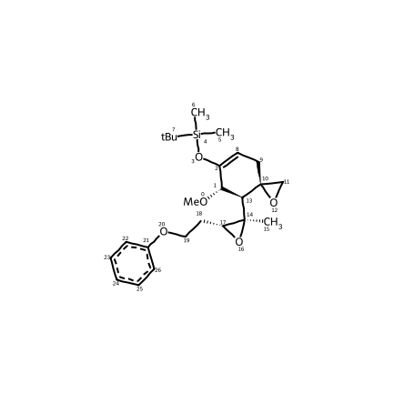 CO[C@@H]1C(O[Si](C)(C)C(C)(C)C)=CC[C@]2(CO2)[C@H]1[C@@]1(C)O[C@@H]1CCOc1ccccc1